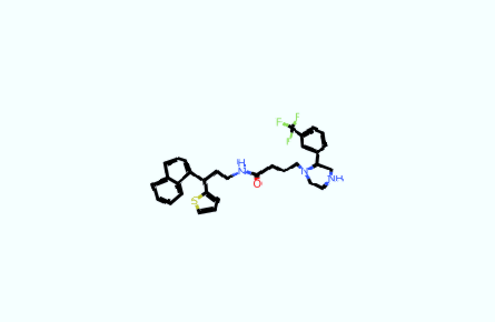 O=C(CCCN1CCNCC1c1cccc(C(F)(F)F)c1)NCCC(c1cccs1)c1cccc2ccccc12